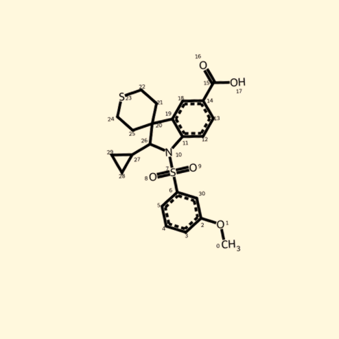 COc1cccc(S(=O)(=O)N2c3ccc(C(=O)O)cc3C3(CCSCC3)C2C2CC2)c1